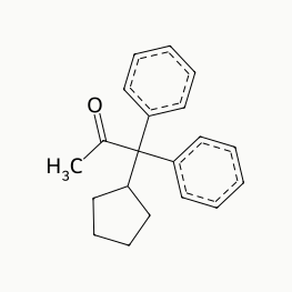 CC(=O)C(c1ccccc1)(c1ccccc1)C1CCCC1